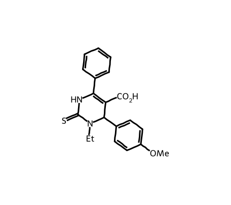 CCN1C(=S)NC(c2ccccc2)=C(C(=O)O)C1c1ccc(OC)cc1